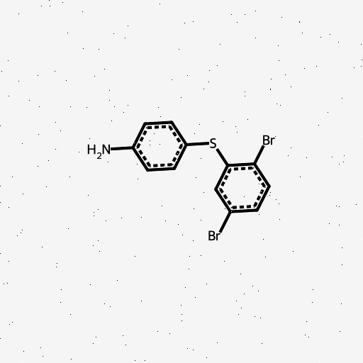 Nc1ccc(Sc2cc(Br)ccc2Br)cc1